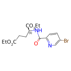 CCOC(=O)CC[C@H](NC(=O)c1ccc(Br)cn1)C(=O)OCC